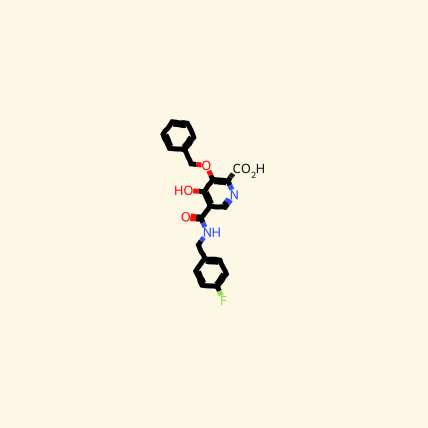 O=C(NCc1ccc(F)cc1)c1cnc(C(=O)O)c(OCc2ccccc2)c1O